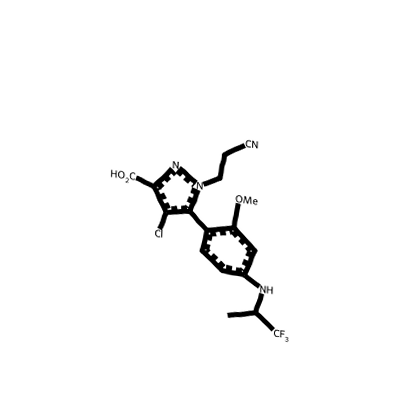 COc1cc(NC(C)C(F)(F)F)ccc1-c1c(Cl)c(C(=O)O)nn1CCC#N